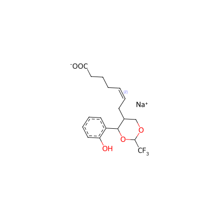 O=C([O-])CCC/C=C\CC1COC(C(F)(F)F)OC1c1ccccc1O.[Na+]